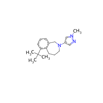 Cn1cc(N2CCCc3c(cccc3C(C)(C)C)C2)cn1